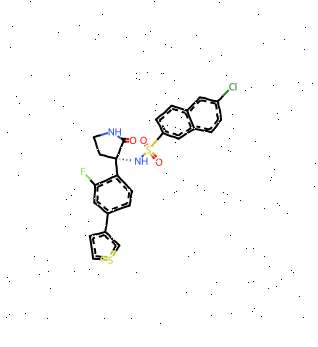 O=C1NCC[C@]1(NS(=O)(=O)c1ccc2cc(Cl)ccc2c1)c1ccc(-c2ccsc2)cc1F